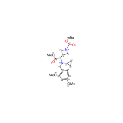 CCCCOC(=O)N1CC(C(C(=O)OC)N(Cc2ccc(OC)cc2OC)C2CC2)C1